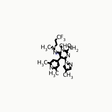 Cc1cnn(-c2nc(N)n(C=O)/c(=N\N(C)CCC(F)(F)F)c2-c2cc(C)nc(C)c2)c1